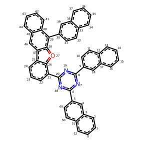 c1ccc2cc(-c3nc(-c4ccc5ccccc5c4)nc(-c4cccc5c4oc4c(-c6ccc7ccccc7c6)c6ccccc6cc45)n3)ccc2c1